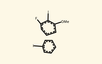 COc1cccc(F)c1I.Ic1ccccc1